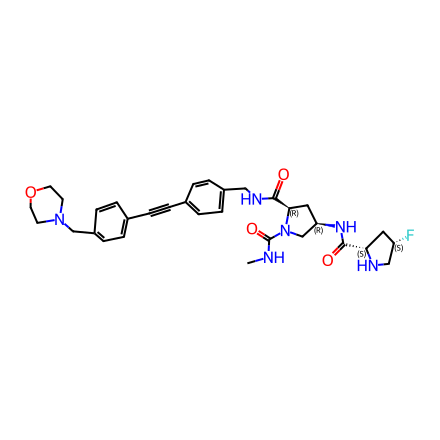 CNC(=O)N1C[C@H](NC(=O)[C@@H]2C[C@H](F)CN2)C[C@@H]1C(=O)NCc1ccc(C#Cc2ccc(CN3CCOCC3)cc2)cc1